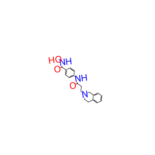 O=C(CCN1CCc2ccccc2C1)Nc1ccc(C(=O)NO)cc1